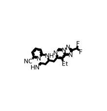 CCc1c(CC(CC=N)Nc2cccc(C#N)n2)ncn2nc(C(F)F)nc12